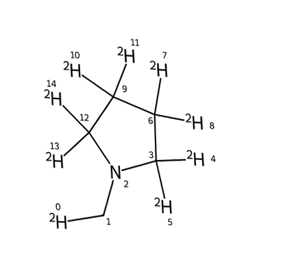 [2H]CN1C([2H])([2H])C([2H])([2H])C([2H])([2H])C1([2H])[2H]